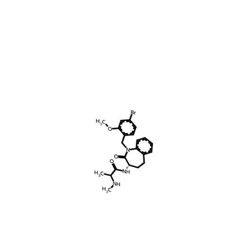 CNC(C)C(=O)N[C@H]1CCc2ccccc2N(Cc2ccc(Br)cc2OC)C1=O